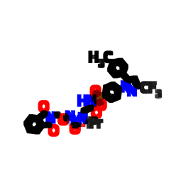 Cc1ccc(-c2cc(C(F)(F)F)nn2-c2ccc(S(=O)(=O)NC(=O)CN(C(C)C)/[N+]([O-])=N/OCN3C(=O)c4ccccc4C3=O)cc2)cc1